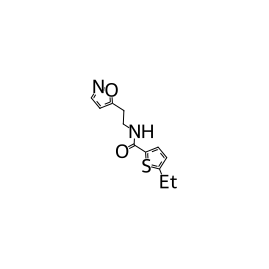 CCc1ccc(C(=O)NCCc2ccno2)s1